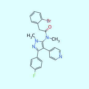 CN(C(=O)Cc1ccccc1Br)c1c(-c2ccncc2)c(-c2ccc(F)cc2)nn1C